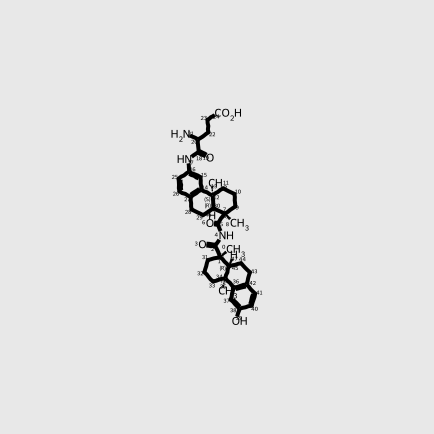 C[C@]1(C(=O)NC(=O)[C@@]2(C)CCC[C@]3(C)c4cc(NC(=O)C(N)CCC(=O)O)ccc4CC[C@@H]23)CCC[C@]2(C)c3cc(O)ccc3CC[C@@H]12